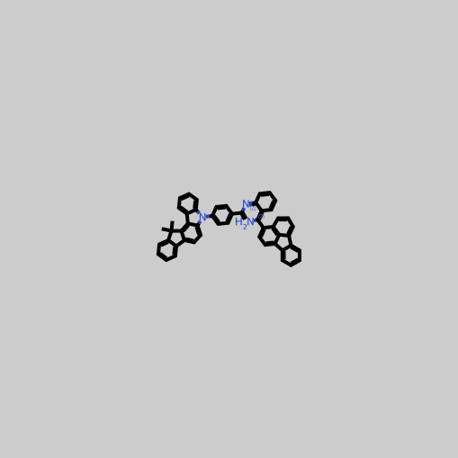 C=C(/N=C1/C=CC=C/C1=C(/N)c1ccc2c3c(cccc13)-c1ccccc1-2)c1ccc(-n2c3ccccc3c3c4c(ccc32)-c2ccccc2C4(C)C)cc1